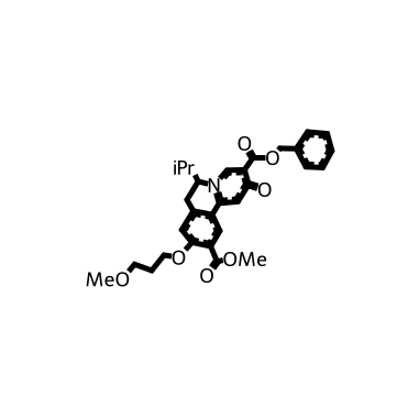 COCCCOc1cc2c(cc1C(=O)OC)-c1cc(=O)c(C(=O)OCc3ccccc3)cn1C(C(C)C)C2